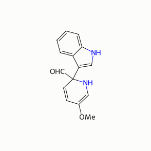 COC1=CNC(C=O)(c2c[nH]c3ccccc23)C=C1